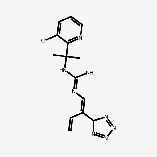 C=C/C(=C\N=C(/N)NC(C)(C)c1ncccc1Cl)C1N=NN=N1